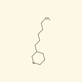 CCCCCCC1CCC[N]C1